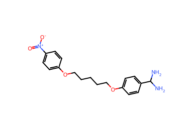 NC(N)c1ccc(OCCCCCOc2ccc([N+](=O)[O-])cc2)cc1